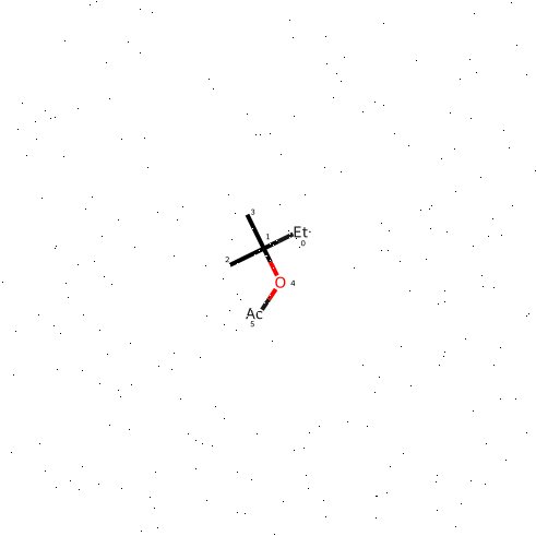 C[CH]C(C)(C)OC(C)=O